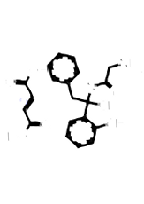 Cc1ccccc1C(C)(Cc1ccccc1)NC(=O)CN.O=C(O)/C=C/C(=O)O